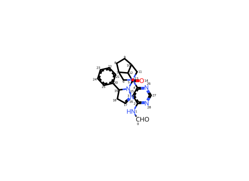 O=CNc1cc(N2CC3CCC(C2)C3C(=O)N2N=CCC2c2ccccc2)ncn1